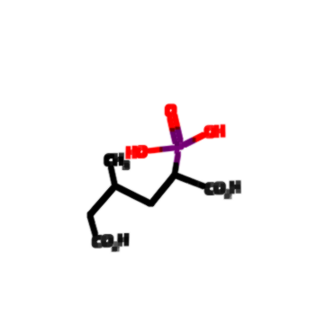 CC(CC(=O)O)CC(C(=O)O)P(=O)(O)O